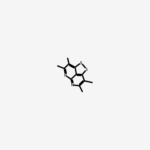 Cc1nc2nc(C)c(C)c3c2c(c1C)SS3